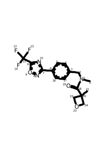 CN(Cc1ccc(-c2noc(C(F)(F)F)n2)cc1)C(=O)C1(C)COC1